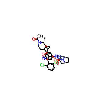 CC(=O)N1CCC(c2cccc(NC(=O)N3C4CCC3CC(OCc3c(-c5c(Cl)cccc5Cl)noc3C3CC3)C4)c2)CC1